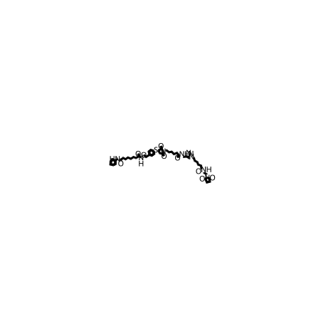 O=C(CCCCCn1cc(CNC(=O)CCCCCN2C(=O)CC(Sc3ccc(CONC(=O)CCCCCCC(=O)Nc4ccccc4)cc3)C2=O)nn1)NCCN1C(=O)C=CC1=O